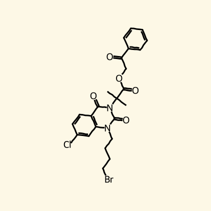 CC(C)(C(=O)OCC(=O)c1ccccc1)n1c(=O)c2ccc(Cl)cc2n(CCCCBr)c1=O